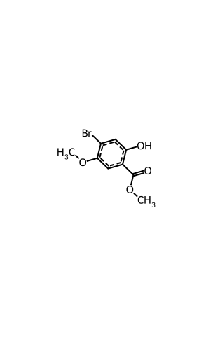 COC(=O)c1cc(OC)c(Br)cc1O